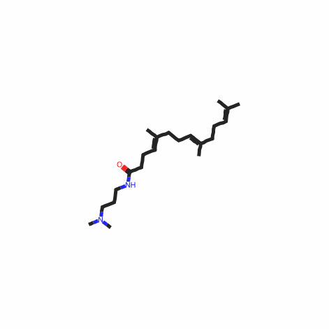 CC(C)=CCCC(C)=CCCC(C)=CCCC(=O)NCCCN(C)C